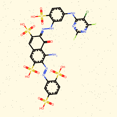 Nc1c(/N=N/c2cc(S(=O)(=O)O)ccc2S(=O)(=O)O)c(S(=O)(=O)O)cc2c1C(=O)/C(=N\Nc1cc(Nc3nc(F)nc(F)c3Cl)ccc1S(=O)(=O)O)C(S(=O)(=O)O)=C2